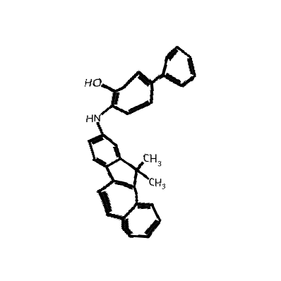 CC1(C)c2cc(Nc3ccc(-c4ccccc4)cc3O)ccc2-c2ccc3ccccc3c21